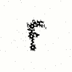 CC[C@@H]1CN(C(=O)c2cc(OC)c3c(c2)nc(-c2cc4ccc(/C=C/CCc5ccccc5)cc4n2CC2CC2)n3C)[C@H](C)C1N